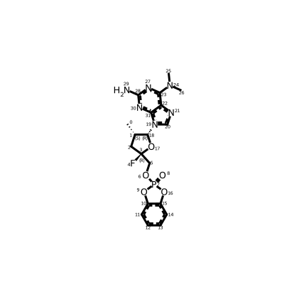 C[C@H]1C[C@@](F)(COP2(=O)Oc3ccccc3O2)O[C@H]1n1cnc2c(N(C)C)nc(N)nc21